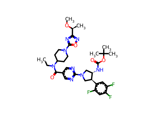 CCN(C(=O)c1cnc(N2C[C@H](NC(=O)OC(C)(C)C)[C@@H](c3cc(F)c(F)cc3F)C2)nc1)C1CCN(c2nc([C@H](C)OC)no2)CC1